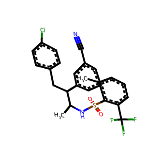 Cc1cccc(C(F)(F)F)c1S(=O)(=O)NC(C)C(Cc1ccc(Cl)cc1)c1cccc(C#N)c1